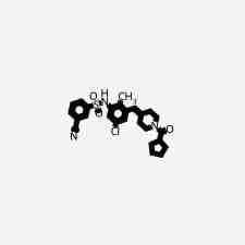 Cc1c(C=C2CCN(C(=O)C3CCCC3)CC2)cc(Cl)cc1NS(=O)(=O)c1cccc(C#N)c1